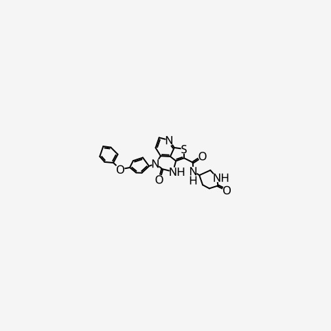 O=C1CCC(NC(=O)c2sc3nccc4c3c2NC(=O)N4c2ccc(Oc3ccccc3)cc2)CN1